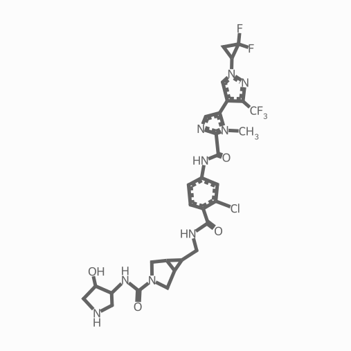 Cn1c(-c2cn(C3CC3(F)F)nc2C(F)(F)F)cnc1C(=O)Nc1ccc(C(=O)NCC2C3CN(C(=O)NC4CNCC4O)CC23)c(Cl)c1